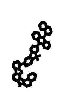 CC1(C)c2ccc(-c3cccc4c3sc3c4ccc4sc5ccc6ccccc6c5c43)cc2-c2ccc(-c3c4ccccc4c(-c4cccc5ccccc45)c4ccccc34)cc21